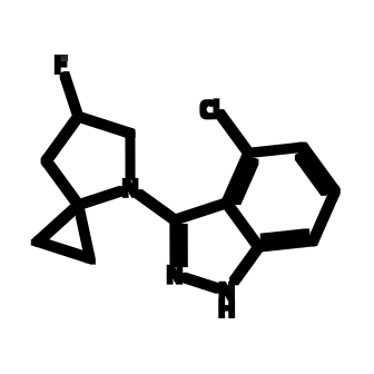 FC1CN(c2n[nH]c3cccc(Cl)c23)C2(CC2)C1